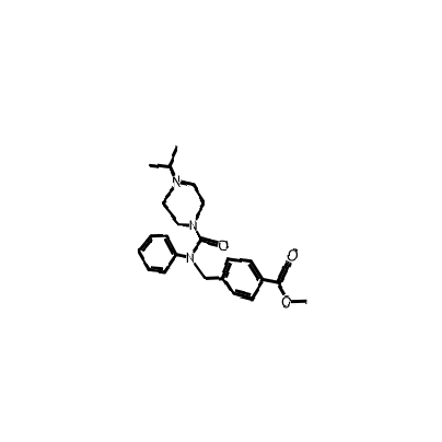 COC(=O)c1ccc(CN(C(=O)N2CCN(C(C)C)CC2)c2ccccc2)cc1